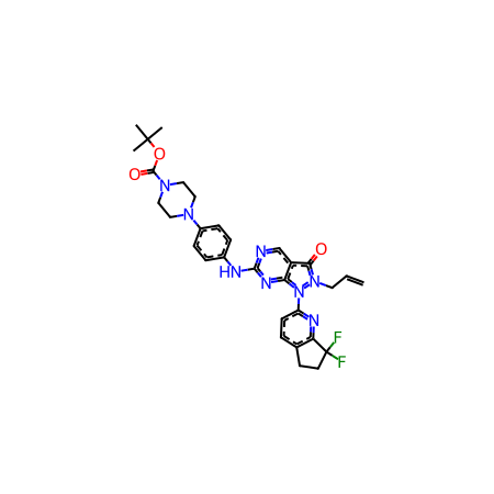 C=CCn1c(=O)c2cnc(Nc3ccc(N4CCN(C(=O)OC(C)(C)C)CC4)cc3)nc2n1-c1ccc2c(n1)C(F)(F)CC2